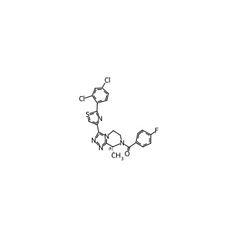 C[C@@H]1c2nnc(-c3csc(-c4ccc(Cl)cc4Cl)n3)n2CCN1C(=O)c1ccc(F)cc1